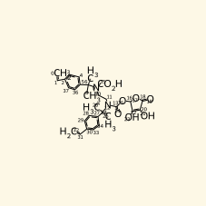 C=Cc1ccc(C(C)(C)N(CCN(C(=O)OC2OC(=O)C(O)=C2O)C(C)(C)c2ccc(C=C)cc2)C(=O)O)cc1